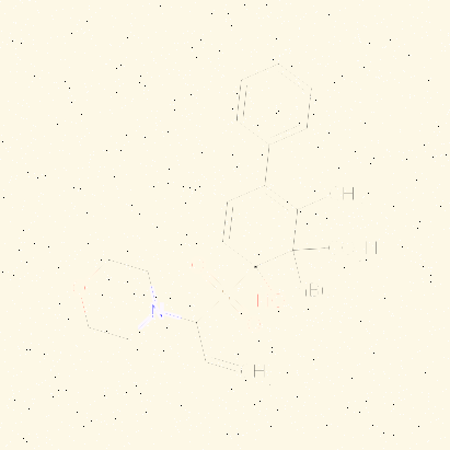 C=CC(N1CCOCC1)S(=O)(=O)C1(O)C=CC(c2ccccc2)=C(C)C1(CCCC)C(=O)O